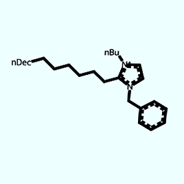 CCCCCCCCCCCCCCCCc1n(Cc2ccccc2)cc[n+]1CCCC